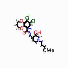 COCCCN1CC[C@@H](CNC(=O)c2cc(Cl)c(Cl)c3c2OCCCO3)C(O)C1